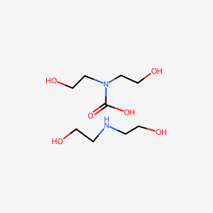 O=C(O)N(CCO)CCO.OCCNCCO